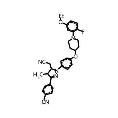 CCOc1ccc(F)c(N2CCC(Oc3ccc(N4N=C(c5ccc(C#N)cc5)C(C)C4CC#N)cc3)CC2)c1